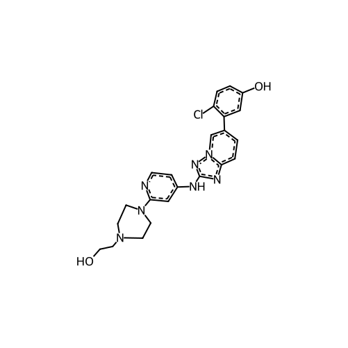 OCCN1CCN(c2cc(Nc3nc4ccc(-c5cc(O)ccc5Cl)cn4n3)ccn2)CC1